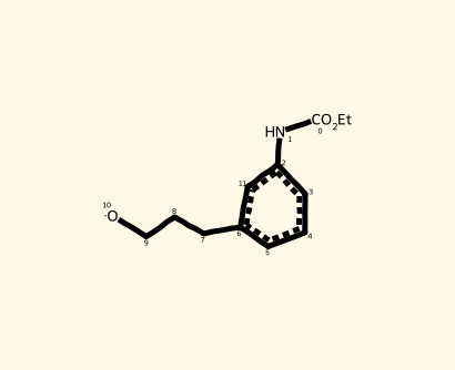 CCOC(=O)Nc1cccc(CCC[O])c1